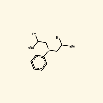 CCCCC(CC)C[Si](CC(CC)CCCC)c1ccccc1